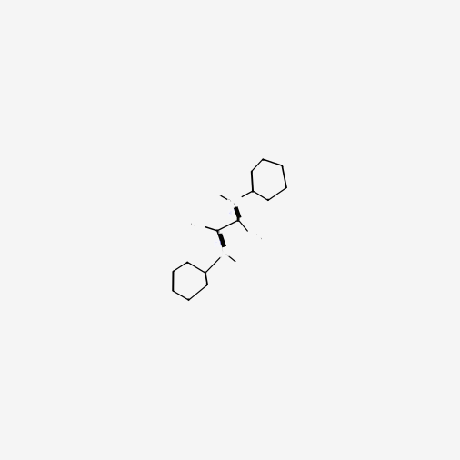 N#CC(/C(C#N)=[N+](\O)C1CCCCC1)=[N+](/[O-])C1CCCCC1